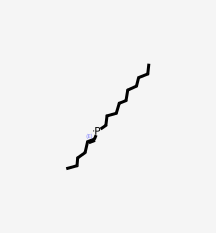 CCCC/C=C/[P]CCCCCCCCCC